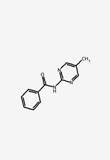 Cc1cnc(NC(=O)c2ccccc2)nc1